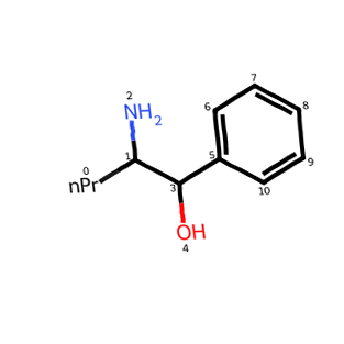 CCCC(N)C(O)c1ccccc1